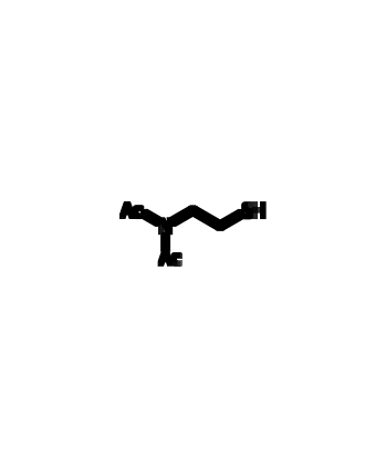 CC(=O)N(CCS)C(C)=O